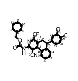 N#Cc1c(NC(=O)OCc2ccccc2)nc(C(F)(F)F)c2c1-c1ccccc1C(c1ccc(Cl)c(Cl)c1)C2